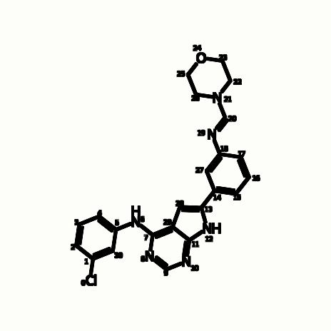 Clc1cccc(Nc2ncnc3[nH]c(-c4cccc(N=CN5CCOCC5)c4)cc23)c1